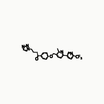 Cc1nc(-c2ccc(C(F)(F)F)nc2)ccc1COc1ccc(C(=O)CCCn2ccnn2)cc1